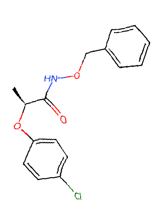 C[C@H](Oc1ccc(Cl)cc1)C(=O)NOCc1ccccc1